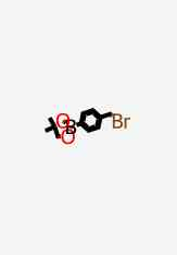 CC1(C)COB(c2ccc(CBr)cc2)O1